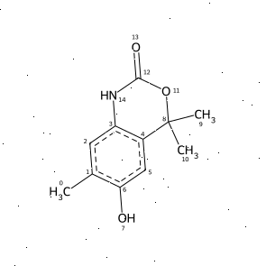 Cc1cc2c(cc1O)C(C)(C)OC(=O)N2